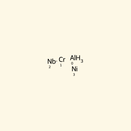 [AlH3].[Cr].[Nb].[Ni]